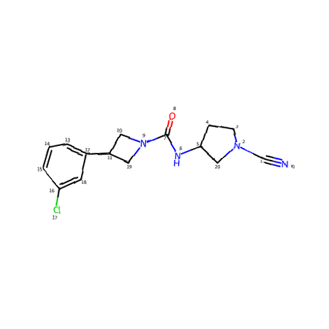 N#CN1CCC(NC(=O)N2CC(c3cccc(Cl)c3)C2)C1